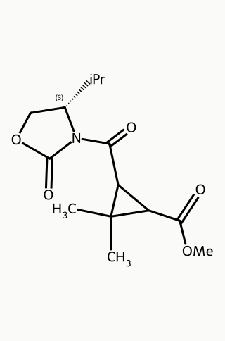 COC(=O)C1C(C(=O)N2C(=O)OC[C@@H]2C(C)C)C1(C)C